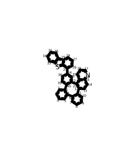 c1ccc2c(c1)-c1ccccc1-c1ccc3ncccc3c1-c1cc(-c3cccc4c3sc3ccccc34)ccc1-2